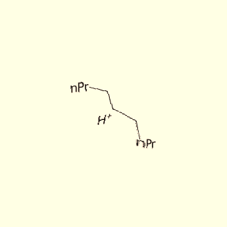 C[CH]CCCCCCC.[H+]